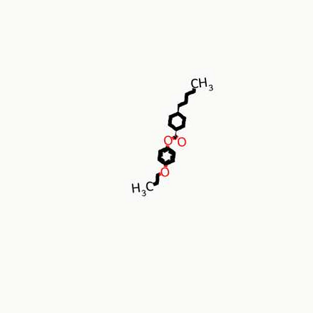 CCCCC[C@H]1CC[C@H](C(=O)Oc2ccc(OCCC)cc2)CC1